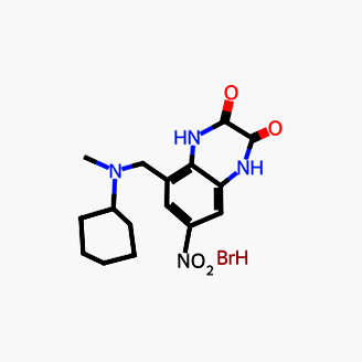 Br.CN(Cc1cc([N+](=O)[O-])cc2[nH]c(=O)c(=O)[nH]c12)C1CCCCC1